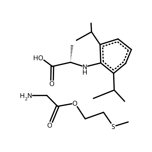 CC(C)c1cccc(C(C)C)c1N[C@@H](C)C(=O)O.CSCCOC(=O)CN